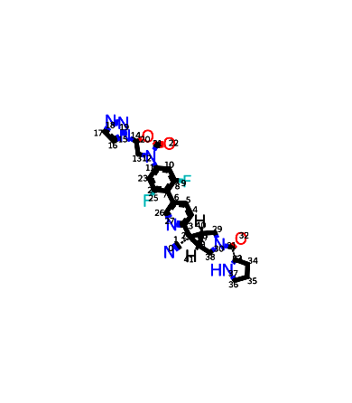 N#C[C@]1(c2ccc(-c3c(F)cc(N4CC(n5ccnn5)OC4=O)cc3F)cn2)[C@@H]2CN(C(=O)[C@@H]3CCCN3)C[C@@H]21